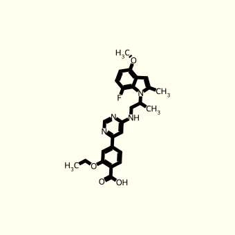 CCOc1cc(-c2cc(NCC(C)n3c(C)cc4c(OC)ccc(F)c43)ncn2)ccc1C(=O)O